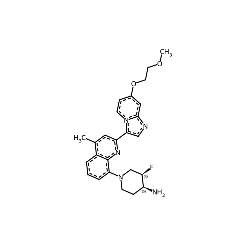 COCCOc1ccn2c(-c3cc(C)c4cccc(N5CC[C@H](N)[C@H](F)C5)c4n3)cnc2c1